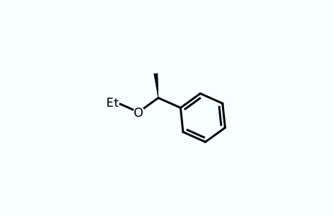 CCO[C@@H](C)c1ccccc1